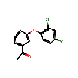 CC(=O)c1cccc(Oc2ccc(Cl)cc2Cl)c1